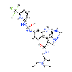 CCN1CCCC1CNC(=O)c1cn2ncnc(N)c2c1-c1ccc(NC(=O)Nc2cccc(C(F)(F)F)n2)cc1